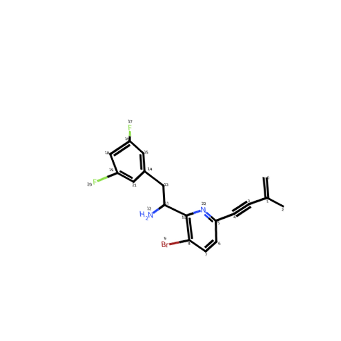 C=C(C)C#Cc1ccc(Br)c(C(N)Cc2cc(F)cc(F)c2)n1